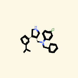 CC(C)c1cccc([C@@H]2CNC[C@@H]2CN(Cc2ccccc2)c2ccc(Cl)cc2)c1